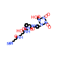 [N-]=[N+]=NCCCCC(=O)NCCCCC(NC(=O)CNC(=O)C(Cc1ccccc1)NC(=O)c1ccc(CN2CCN(COC=O)CCN(COC=O)CCN(CC(=O)O)CC2)cc1)C(=O)O